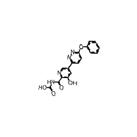 O=C(O)NC(=O)c1ncc(-c2ccc(Oc3ccccc3)nn2)cc1O